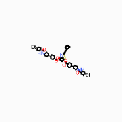 CCC1CCC(C(=O)NC2CCC(C3CCC(C(=O)Oc4ccc(OC(=O)[C@H]5CC[C@H](C6CCC(NC(=O)[C@H]7CC[C@@H](CC)CC7)CC6)CC5)c5nc(C#Cc6ccccc6)sc45)CC3)CC2)CC1